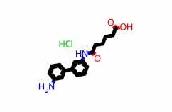 Cl.Nc1cccc(-c2cccc(NC(=O)CCCCC(=O)O)c2)c1